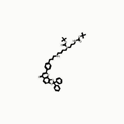 CC(C)(C)OC(=O)NCCCN(CCCCNCCCc1ccc(-c2cc(=O)c3ccc4c(c3o2)OC(c2ccccc2)(c2ccccc2)O4)cc1)C(=O)OC(C)(C)C